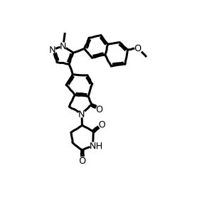 COc1ccc2cc(-c3c(-c4ccc5c(c4)CN(C4CCC(=O)NC4=O)C5=O)cnn3C)ccc2c1